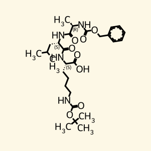 CC(C)C[C@H](NC(=O)[C@@H](C)NC(=O)OCc1ccccc1)C(=O)N[C@@H](CCCCNC(=O)OC(C)(C)C)C(=O)O